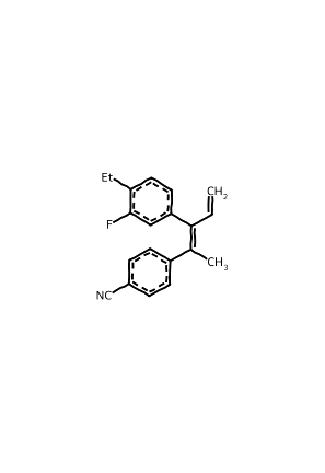 C=C/C(=C(\C)c1ccc(C#N)cc1)c1ccc(CC)c(F)c1